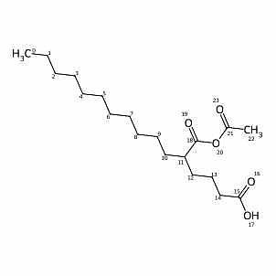 CCCCCCCCCCCC(CCCC(=O)O)C(=O)OC(C)=O